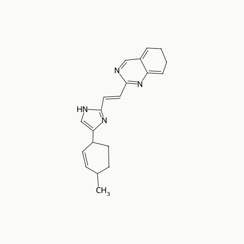 CC1C=CC(c2c[nH]c(/C=C/c3ncc4c(n3)=CCCC=4)n2)CC1